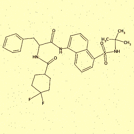 CC(C)(C)NS(=O)(=O)c1cccc2c(NC(=O)C(Cc3ccccc3)NC(=O)C3CCC(F)(F)CC3)cccc12